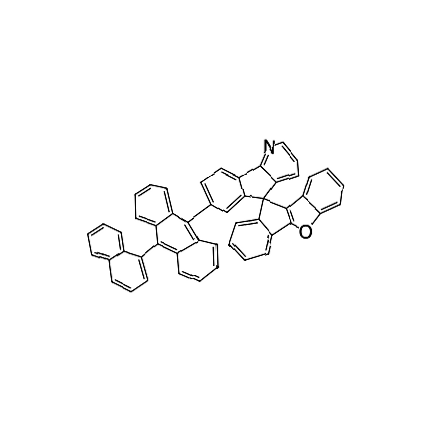 c1ccc2c(c1)-c1oc3ccccc3c1C21c2cc(-c3c4ccccc4c(-c4cccc5ccccc45)c4ccccc34)ccc2-c2ncccc21